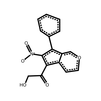 O=C(CO)c1c2ccocc-2c(-c2ccccc2)c1[N+](=O)[O-]